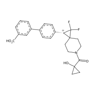 O=C(O)c1cccc(-c2ccc([C@@H]3C(F)(F)C34CCN(C(=O)C3(O)CC3)CC4)cc2)c1